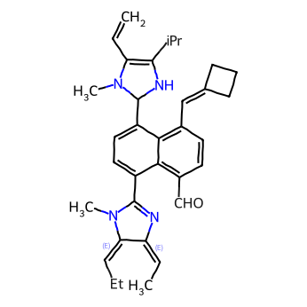 C=CC1=C(C(C)C)NC(c2ccc(-c3nc(=C/C)/c(=C\CC)n3C)c3c(C=O)ccc(C=C4CCC4)c23)N1C